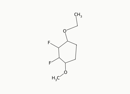 CCOC1CCC(OC)C(F)C1F